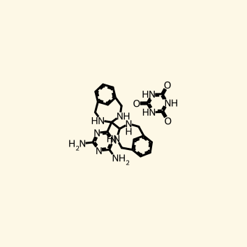 Nc1nc(N)nc(C2(C3NCc4cccc(c4)CN3)NCc3cccc(c3)CN2)n1.O=c1[nH]c(=O)[nH]c(=O)[nH]1